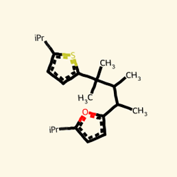 CC(C)c1ccc(C(C)C(C)C(C)(C)c2ccc(C(C)C)s2)o1